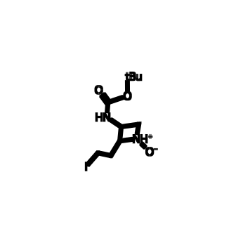 CC(C)(C)OC(=O)NC1C[NH+]([O-])C1CCI